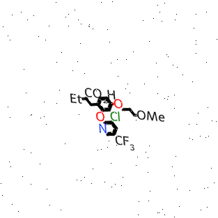 CCC(Cc1ccc(OCCCOC)cc1Oc1ncc(C(F)(F)F)cc1Cl)C(=O)O